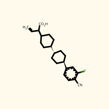 C=CC(C(=O)O)C1CCC([C@H]2CC[C@H](c3ccc(C#N)c(F)c3)CC2)CC1